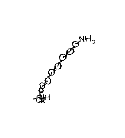 CCCC(N[S+]([O-])C(C)(C)C)c1ccc(OCCOCCOCCOCCOCCOCCOCCN)cc1